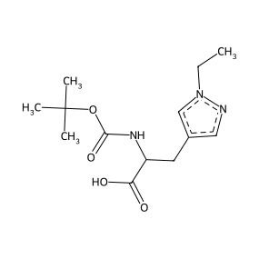 CCn1cc(CC(NC(=O)OC(C)(C)C)C(=O)O)cn1